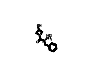 Cl.N[C@@H](Cc1ccccc1)C(=O)N1CC(O)C1